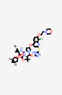 CC[C@@H]1C[C@]1(NC(=O)[C@@H]1C[C@@H](Oc2cc(Sc3nnc[nH]3)nc3c(Cl)c(OCCN4CCOCC4)ccc23)CN1C(=O)[C@@H](NC(=O)O[C@@H]1C[C@@H]2C[C@@H]2C1)C(C)(C)C)C(=O)O